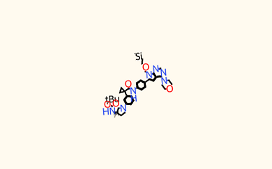 CC(C)(C)OC(=O)N[C@]1(C)CCN(c2cccc(C3(C(=O)Nc4ccc(-c5cc6c(N7CCOCC7)ncnc6n5COCC[Si](C)(C)C)cc4)CC3)c2)C1